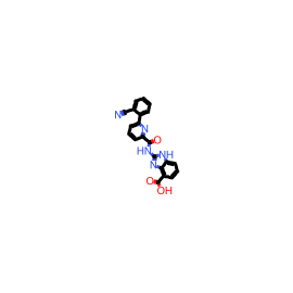 N#Cc1ccccc1-c1cccc(C(=O)Nc2nc3c(C(=O)O)cccc3[nH]2)n1